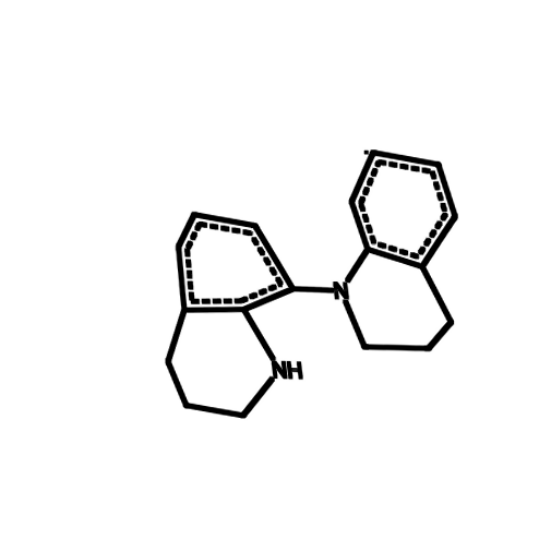 [c]1ccc2c(c1)N(c1cccc3c1NCCC3)CCC2